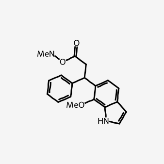 CNOC(=O)CC(c1ccccc1)c1ccc2cc[nH]c2c1OC